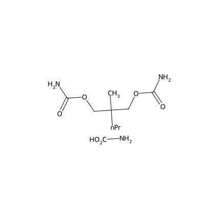 CCCC(C)(COC(N)=O)COC(N)=O.NC(=O)O